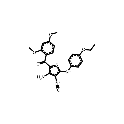 [C-]#[N+]c1c(Nc2ccc(OCC)cc2)sc(C(=O)c2ccc(OC)cc2OC)c1N